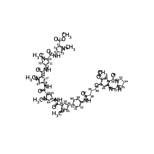 COC(=O)c1cc(NC(=O)c2cc(NC(=O)c3cc(NC(=O)c4cc(NC(=O)c5cc(-c6ccc(NC(=O)CCCOc7cc8c(cc7OC)C(=O)N7CCC[C@H]7C=N8)cc6)cn5C)cn4C)cn3C)cn2C)cn1C